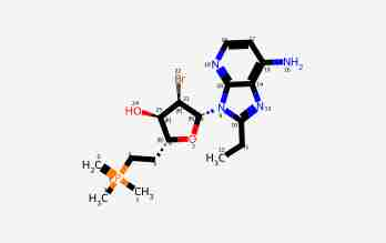 C=P(C)(C)CC[C@H]1O[C@@H](n2c(CC)nc3c(N)ccnc32)[C@H](Br)[C@@H]1O